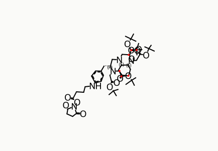 CC(C)(C)OC(=O)CN(CC(=O)OC(C)(C)C)[C@H](Cc1ccc(NCCCC(=O)ON2C(=O)CCC2=O)cc1)CN(CC(=O)OC(C)(C)C)[C@H]1CCCC[C@@H]1N(CC(=O)OC(C)(C)C)CC(=O)OC(C)(C)C